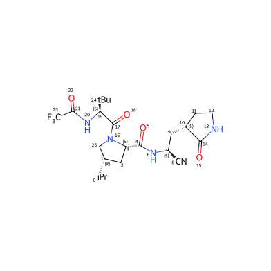 CC(C)[C@H]1C[C@@H](C(=O)N[C@H](C#N)C[C@@H]2CCNC2=O)N(C(=O)[C@@H](NC(=O)C(F)(F)F)C(C)(C)C)C1